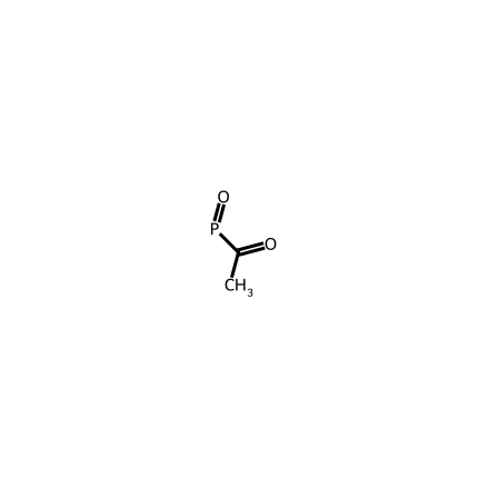 CC(=O)P=O